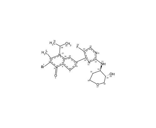 Cc1c(Br)c(=O)c2ccc(-c3nc(N[C@@H]4CCOC[C@H]4O)ncc3F)cc2n1C(C)C